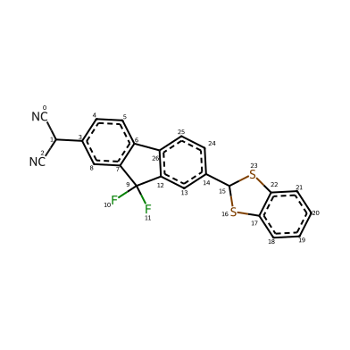 N#CC(C#N)c1ccc2c(c1)C(F)(F)c1cc(C3Sc4ccccc4S3)ccc1-2